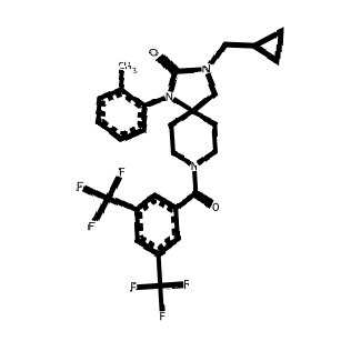 Cc1ccccc1N1C(=O)N(CC2CC2)CC12CCN(C(=O)c1cc(C(F)(F)F)cc(C(F)(F)F)c1)CC2